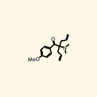 C=CCC(CC=C)(C(=O)c1ccc(OC)cc1)N(C)C